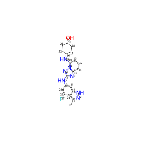 Cc1n[nH]c2cc(Nc3nc4cccc(N[C@H]5CC[C@@H](O)CC5)n4n3)cc(F)c12